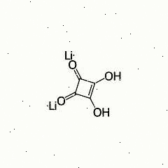 O=c1c(O)c(O)c1=O.[Li].[Li]